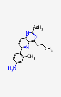 CCCc1nc([AsH2])nc2ccc(-c3ccc(N)cc3C)nc12